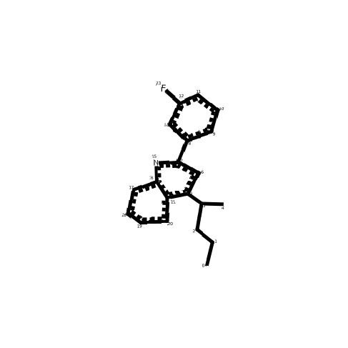 CCCC(C)c1cc(-c2cccc(F)c2)nc2ccccc12